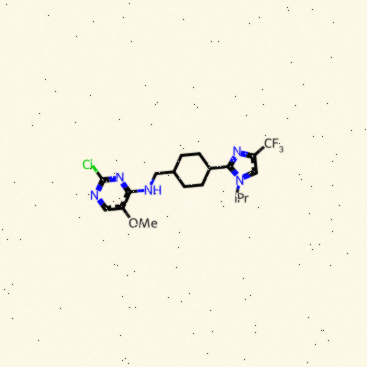 COc1cnc(Cl)nc1NCC1CCC(c2nc(C(F)(F)F)cn2C(C)C)CC1